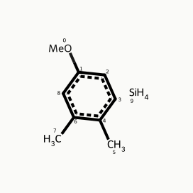 COc1ccc(C)c(C)c1.[SiH4]